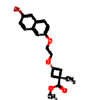 COC(=O)[C@]1(C)C[C@H](OCCOc2ccc3cc(Br)ccc3c2)C1